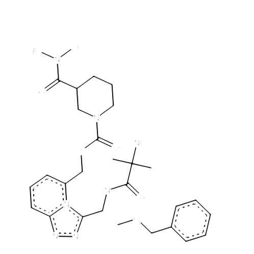 CCN(CC)C(=O)C1CCCN(C(=O)OCc2cccc3nnc([C@@H](COCc4ccccc4)NC(=O)C(C)(C)N)n23)C1